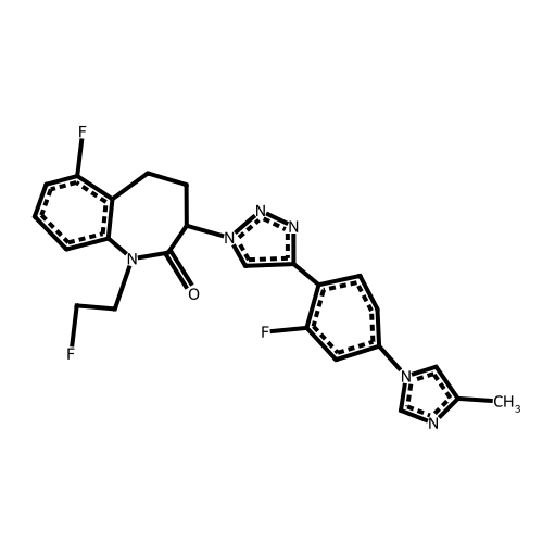 Cc1cn(-c2ccc(-c3cn(C4CCc5c(F)cccc5N(CCF)C4=O)nn3)c(F)c2)cn1